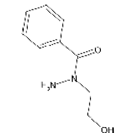 NN(CCO)C(=O)c1ccccc1